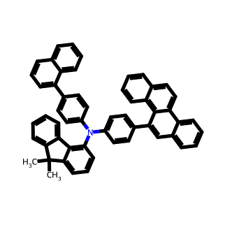 CC1(C)c2ccccc2-c2c(N(c3ccc(-c4cccc5ccccc45)cc3)c3ccc(-c4cc5ccccc5c5ccc6ccccc6c45)cc3)cccc21